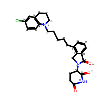 O=C1CCC(N2Cc3c(CCCCCN4CCCc5cc(Cl)ccc54)cccc3C2=O)C(=O)N1